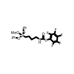 CO[Si](CCCCNC(=O)Oc1c(F)c(F)c(F)c(F)c1F)(OC(C)C)OC(C)C